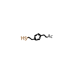 CC(=O)CCc1ccc(CCS)cc1